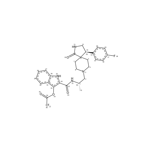 C[C@@H](CN1CCC2(CC1)C(=O)NC[C@H]2c1ccc(F)cc1)NC(=O)c1[nH]c2ccccc2c1OC(=O)C(F)(F)F